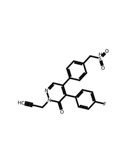 C#CCn1ncc(-c2ccc(C[SH](=O)=O)cc2)c(-c2ccc(F)cc2)c1=O